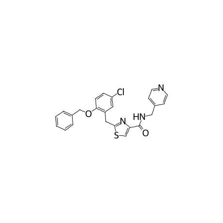 O=C(NCc1ccncc1)c1csc(Cc2cc(Cl)ccc2OCc2ccccc2)n1